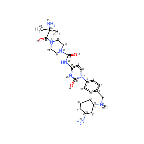 CCN(Cc1ccc(-n2ccc(NC(=O)N3CCN(C(=O)C(C)(C)N)CC3)nc2=O)cc1)[C@H]1CCC[C@@H](N)C1